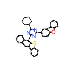 c1ccc2c(-c3nc(-c4ccc5oc6ccccc6c5c4)nc(C4CCCCC4)n3)c3sc4ccccc4c3cc2c1